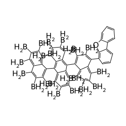 Bc1c(B)c(B)c2c(-c3c4c(B)c(B)c(B)c(B)c4c(-c4c(B)c(B)c(-c5cccc6c5oc5ccccc56)c5c(B)c(B)c(B)c(B)c45)c4c(B)c(B)c(B)c(B)c34)c(B)c(B)c(B)c2c1B